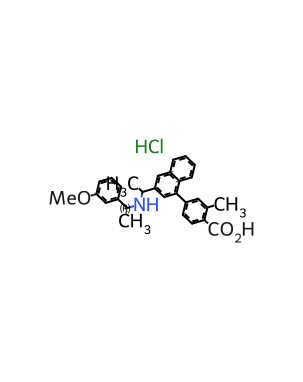 COc1cccc([C@@H](C)NC(C)c2cc(-c3ccc(C(=O)O)c(C)c3)c3ccccc3c2)c1.Cl